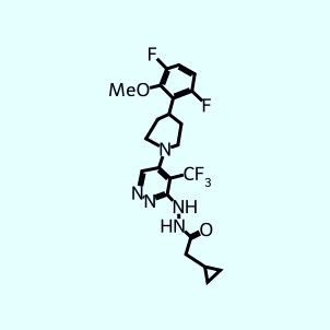 COc1c(F)ccc(F)c1C1CCN(c2cnnc(NNC(=O)CC3CC3)c2C(F)(F)F)CC1